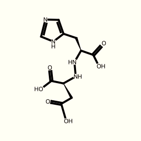 O=C(O)C[C@H](NN[C@@H](Cc1cnc[nH]1)C(=O)O)C(=O)O